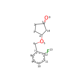 O=C1CCC(OCc2ccccc2F)C1